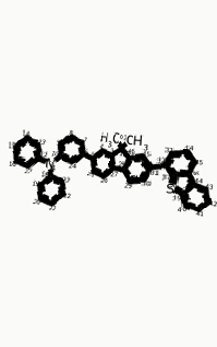 CC1(C)c2cc(-c3cccc(N(c4ccccc4)c4ccccc4)c3)ccc2-c2ccc(-c3cccc4c3sc3ccccc34)cc21